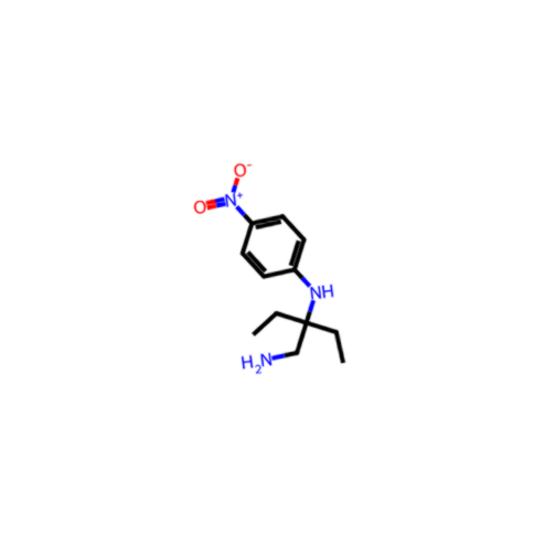 CCC(CC)(CN)Nc1ccc([N+](=O)[O-])cc1